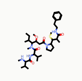 CCC(C)C(C(CC(=O)N1CCCC1C(SC)C(C)C(=O)NCCc1ccccc1)OC)N(C)C(=O)C(NC(=O)C(NC)C(C)C)C(C)C